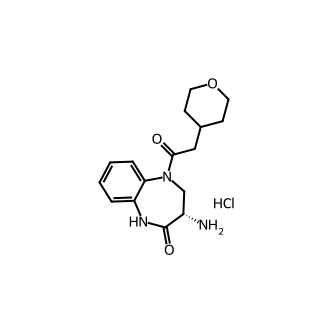 Cl.N[C@H]1CN(C(=O)CC2CCOCC2)c2ccccc2NC1=O